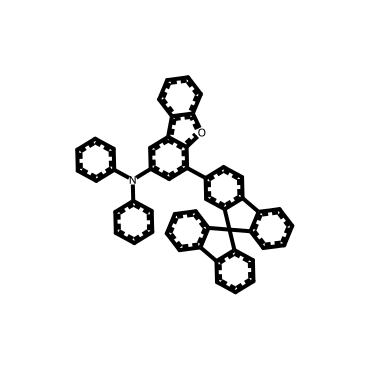 c1ccc(N(c2ccccc2)c2cc(-c3ccc4c(c3)C3(c5ccccc5-c5ccccc53)c3ccccc3-4)c3oc4ccccc4c3c2)cc1